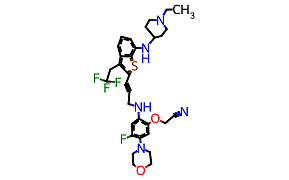 CCN1CCC(Nc2cccc3c(CC(F)(F)F)c(C#CCNc4cc(F)c(N5CCOCC5)cc4OCC#N)sc23)CC1